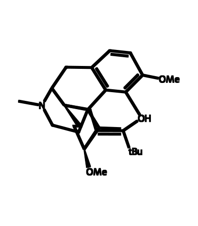 COc1ccc2c(c1C)C13CCN(C)C(C2)[C@]12CC[C@@](OC)(/C(=C(/O)C(C)(C)C)C2)C3C